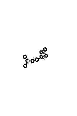 c1ccc(-c2nc(-c3ccccc3)nc(-c3ccc4c(c3)oc3cc(-c5ccc6c(c5)sc5cccc(-n7c8ccccc8c8ccccc87)c56)ccc34)n2)cc1